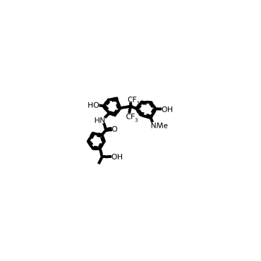 CNc1cc(C(c2ccc(O)c(NC(=O)c3cccc(C(C)O)c3)c2)(C(F)(F)F)C(F)(F)F)ccc1O